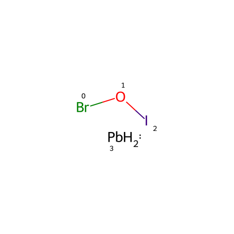 BrOI.[PbH2]